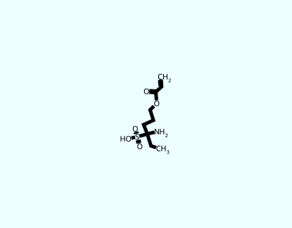 C=CC(=O)OCCCC(N)(CC)S(=O)(=O)O